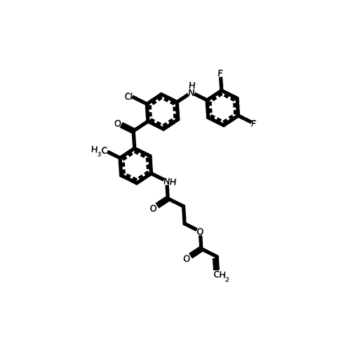 C=CC(=O)OCCC(=O)Nc1ccc(C)c(C(=O)c2ccc(Nc3ccc(F)cc3F)cc2Cl)c1